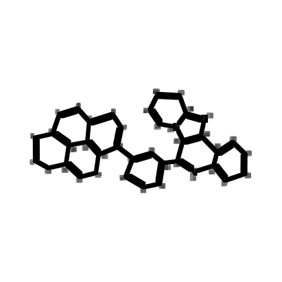 C1=Cc2ccc3ccc(-c4cccc(-c5nc6ccccc6c6nc7ccccn7c56)c4)c4c3c2C(=CC4)C1